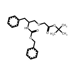 CC(C)(C)OC(=O)COCC(Cc1ccccc1)NC(=O)OCc1ccccc1